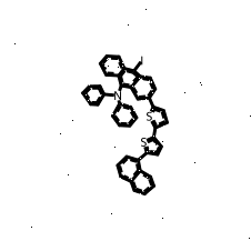 Ic1c2ccccc2c(N(c2ccccc2)c2ccccc2)c2cc(-c3ccc(-c4ccc(-c5cccc6ccccc56)s4)s3)ccc12